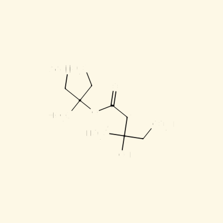 O=C(O)CC(O)(CC(=O)OC(CC(=O)O)(CC(=O)O)C(=O)O)C(=O)O